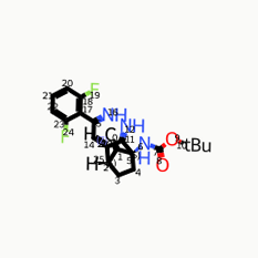 C=C1[C@@H]2CC[C@@]1(NC(=O)OC(C)(C)C)C(=N)/C2=C\C(=N)c1c(F)cccc1F